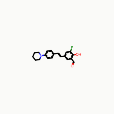 O=Cc1cc(C=Cc2ccc(N3CCCCC3)cc2)cc(F)c1O